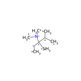 CCC([SiH3])(C(C)C)N(C)C